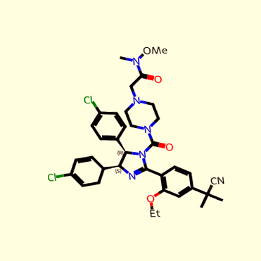 CCOc1cc(C(C)(C)C#N)ccc1C1=N[C@@H](C2C=CC(Cl)=CC2)[C@@H](c2ccc(Cl)cc2)N1C(=O)N1CCN(CC(=O)N(C)OC)CC1